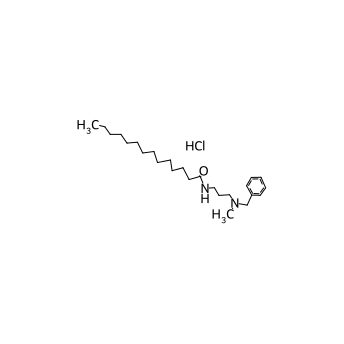 CCCCCCCCCCCCCC(=O)NCCCN(C)Cc1ccccc1.Cl